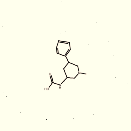 CN1CC(NC(=O)O)CC(c2ccccc2)C1